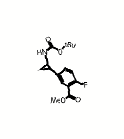 COC(=O)c1cc(C2CC2NC(=O)OC(C)(C)C)ccc1F